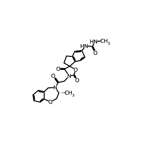 CNC(=O)Nc1ccc2c(c1)CCC21OC(=O)N(CC(=O)N2Cc3ccccc3OC[C@H]2C)C1=O